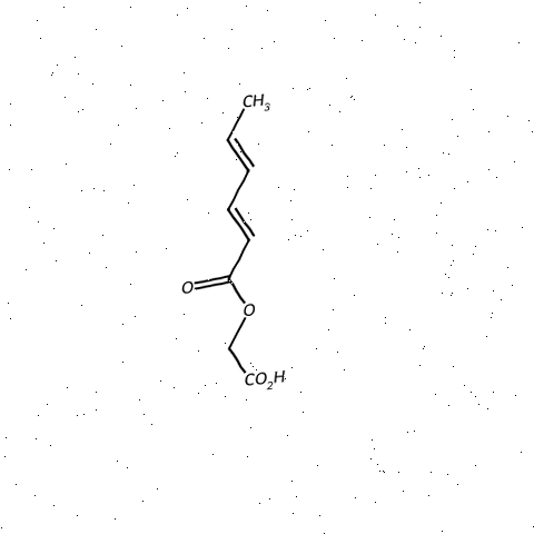 CC=CC=CC(=O)OCC(=O)O